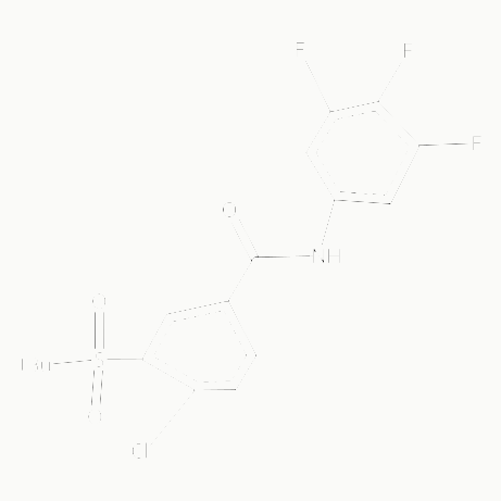 CC(C)(C)S(=O)(=O)c1cc(C(=O)Nc2cc(F)c(F)c(F)c2)ccc1Cl